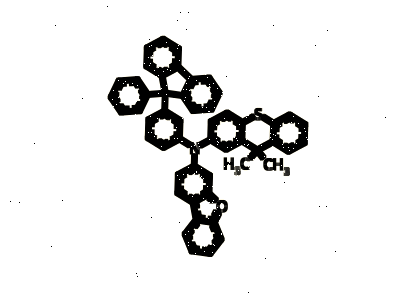 CC1(C)c2ccccc2Sc2ccc(N(c3cccc(C4(c5ccccc5)c5ccccc5-c5ccccc54)c3)c3ccc4c(c3)oc3ccccc34)cc21